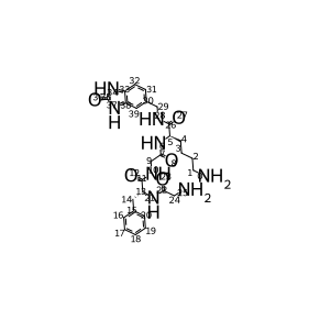 NCCCC[C@@H](NC(=O)CNC(=O)[C@@H](Cc1ccccc1)NC(=O)CN)C(=O)NCc1ccc2[nH]c(=O)[nH]c2c1